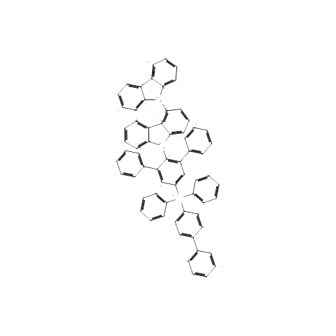 c1ccc(-c2ccc([Si](c3ccccc3)(c3ccccc3)c3cc(-c4ccccc4)c(-n4c5ccccc5c5c(-n6c7ccccc7c7ccccc76)cccc54)c(-c4ccccc4)c3)cc2)cc1